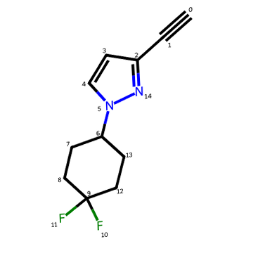 C#Cc1ccn(C2CCC(F)(F)CC2)n1